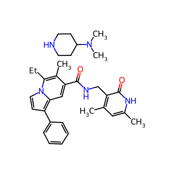 CCc1c(C)c(C(=O)NCc2c(C)cc(C)[nH]c2=O)cc2c(-c3ccccc3)ccn12.CN(C)C1CCNCC1